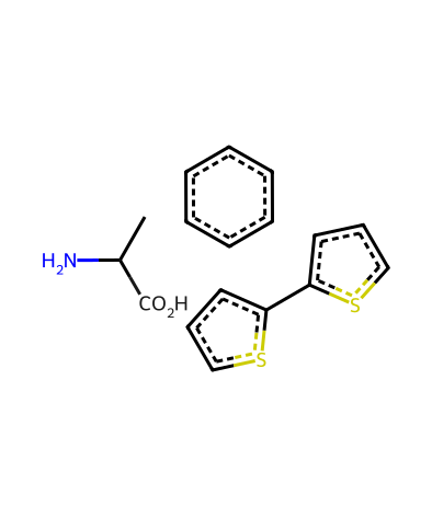 CC(N)C(=O)O.c1ccccc1.c1csc(-c2cccs2)c1